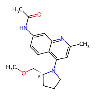 COC[C@H]1CCCN1c1cc(C)nc2cc(NC(C)=O)ccc12